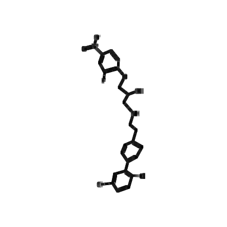 O=[N+]([O-])c1ccc(OCC(O)CNCCc2ccc(-c3cc(Cl)ccc3Cl)cc2)c(F)c1